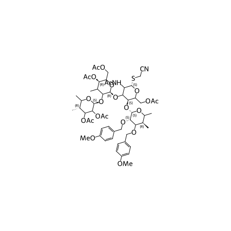 COc1ccc(COC2[C@H](C)C(C)O[C@@H](O[C@@H]3C(COC(C)=O)O[C@@H](SCC#N)C(NC(C)=O)C3O[C@@H]3OC(COC(C)=O)[C@H](OC(C)=O)C(C)C3O[C@@H]3OC(C)[C@@H](C)C(OC(C)=O)C3OC(C)=O)[C@H]2OCc2ccc(OC)cc2)cc1